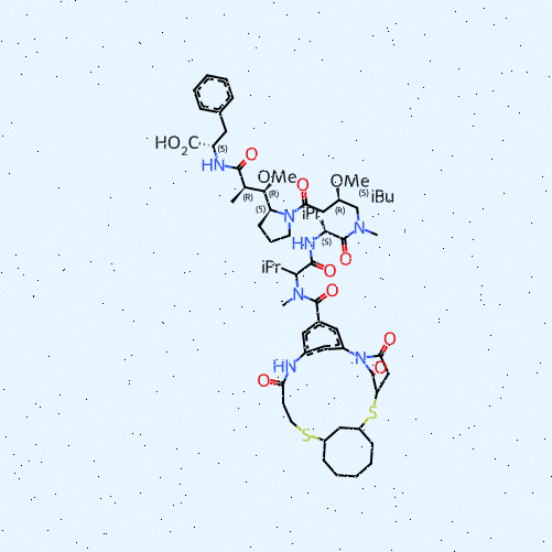 CC[C@H](C)C([C@@H](CC(=O)N1CCC[C@H]1[C@H](OC)[C@@H](C)C(=O)N[C@@H](Cc1ccccc1)C(=O)O)OC)N(C)C(=O)[C@@H](NC(=O)C(C(C)C)N(C)C(=O)c1cc2cc(c1)N1C(=O)CC(SC3CCCCCC(C3)SCCC(=O)N2)C1=O)C(C)C